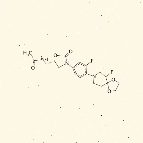 CC(=O)NC[C@H]1CN(c2ccc(N3CCC4(OCCO4)C(F)C3)c(F)c2)C(=O)O1